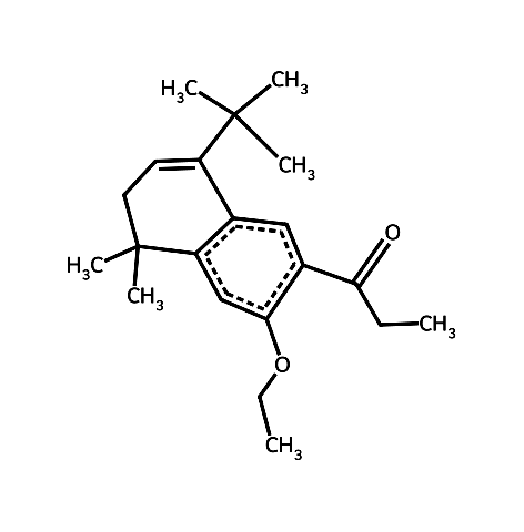 CCOc1cc2c(cc1C(=O)CC)C(C(C)(C)C)=CCC2(C)C